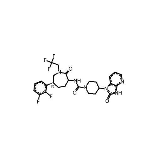 O=C(NC1CC[C@@H](c2cccc(F)c2F)CN(CC(F)(F)F)C1=O)N1CCC(n2c(=O)[nH]c3ncccc32)CC1